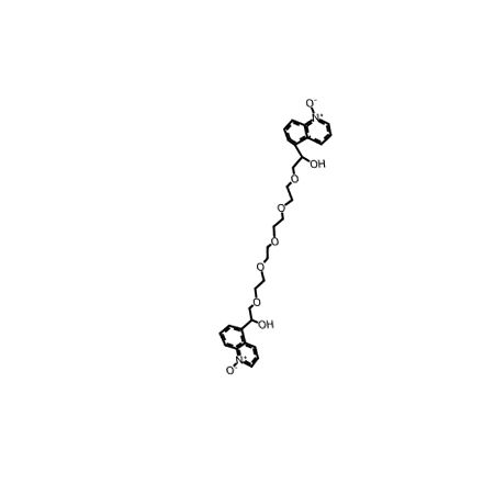 [O-][n+]1cccc2c(C(O)COCCOCCOCCOCCOCC(O)c3cccc4c3ccc[n+]4[O-])cccc21